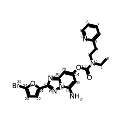 CCN(CCc1ccccn1)C(=O)Oc1cc(N)n2nc(-c3ccc(Br)o3)nc2c1